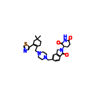 CC1(C)CCC(CN2CCN(Cc3ccc4c(c3)CN(C3CCC(=O)NC3=O)C4=O)CC2)=C(c2cncs2)C1